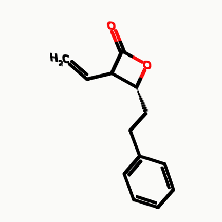 C=CC1C(=O)O[C@@H]1CCc1ccccc1